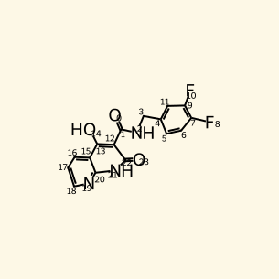 O=C(NCc1ccc(F)c(F)c1)c1c(O)c2cccnc2[nH]c1=O